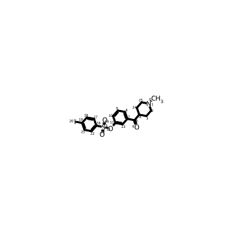 CN1CCC(C(=O)c2cccc(OS(=O)(=O)c3ccc(I)cc3)c2)CC1